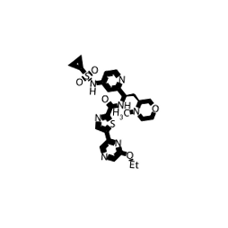 CCOc1cncc(-c2cnc(C(=O)N[C@H](C[C@H]3COCCN3C)c3cc(NS(=O)(=O)C4CC4)ccn3)s2)n1